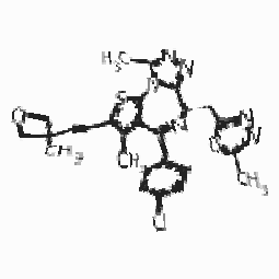 Cc1nnc(C[C@@H]2N=C(c3ccc(Cl)cc3)c3c(sc(C#CC4(C)COC4)c3C)-n3c(C)nnc32)o1